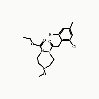 CCOC(=O)N1CCN(OC)CCN1C(=O)Cc1c(Cl)cc(C)cc1Br